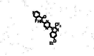 CCOc1ccc2c(c1)nc(C(F)(F)F)n2-c1cnc(NC(=O)c2ccncc2F)cn1